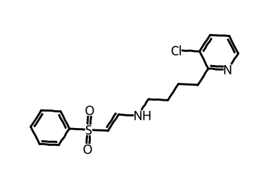 O=S(=O)(/C=C/NCCCCc1ncccc1Cl)c1ccccc1